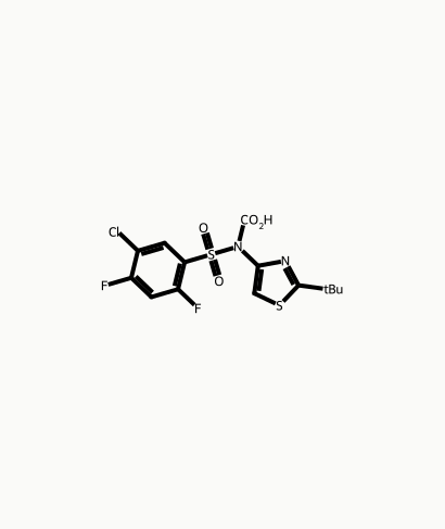 CC(C)(C)c1nc(N(C(=O)O)S(=O)(=O)c2cc(Cl)c(F)cc2F)cs1